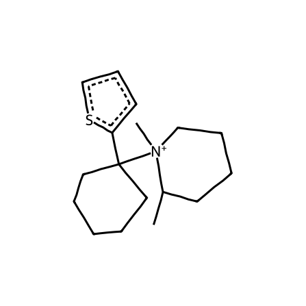 CC1CCCC[N+]1(C)C1(c2cccs2)CCCCC1